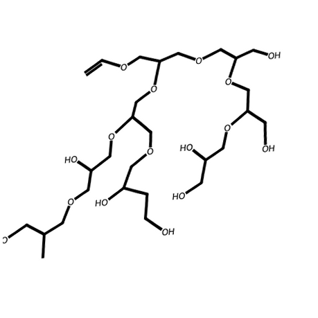 C=COCC(COCC(CO)OCC(CO)OCC(O)CO)OCC(COCC(O)CCO)OCC(O)COCC(C)CO